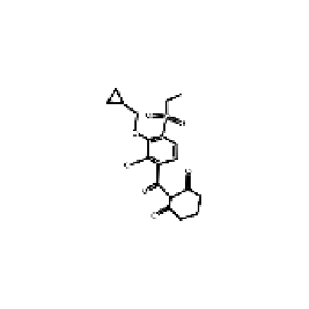 CCS(=O)(=O)c1ccc(C(=O)C2C(=O)CCCC2=O)c(Cl)c1OCC1CC1